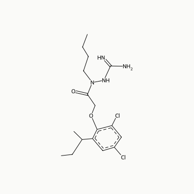 CCCCN(NC(=N)N)C(=O)COc1c(Cl)cc(Cl)cc1C(C)CC